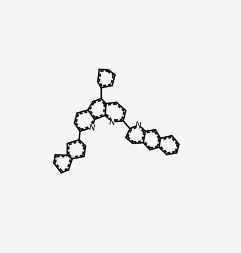 c1ccc(-c2cc3ccc(-c4ccc5ccccc5c4)nc3c3nc(-c4ccc5cc6ccccc6cc5n4)ccc23)cc1